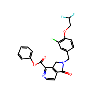 O=C(Oc1ccccc1)c1nccc2c1CN(Cc1ccc(OCC(F)F)c(Cl)c1)C2=O